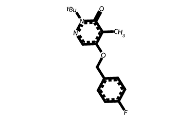 Cc1c(OCc2ccc(F)cc2)cnn(C(C)(C)C)c1=O